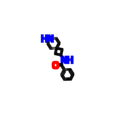 O=C(NC1CC2(CCNCC2)C1)c1ccccc1